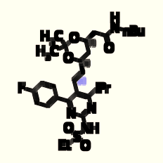 CCCCNC(=O)C[C@H]1C[C@@H](/C=C/c2c(-c3ccc(F)cc3)nc(NS(=O)(=O)CC)nc2C(C)C)OC(C)(C)O1